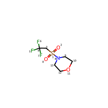 O=S(=O)(CC(F)(F)F)N1CCOCC1